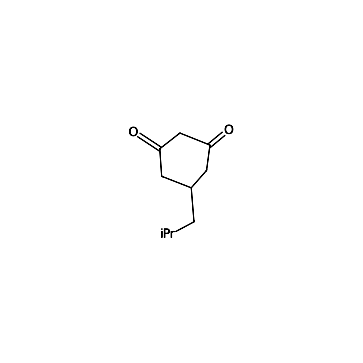 CC(C)CC1CC(=O)CC(=O)C1